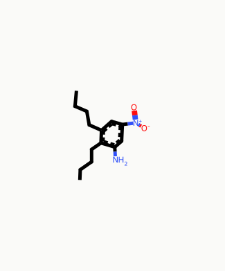 CCCCc1cc([N+](=O)[O-])cc(N)c1CCCC